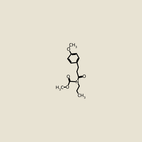 CCCN(C(=O)CCc1ccc(OC)cc1)C(=O)OC